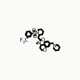 CN(C(=O)CC1CCCCN1S(=O)(=O)c1cccc(C(F)(F)F)c1)[C@@H]1CCOc2cc(CN3CCCCC3)ccc21